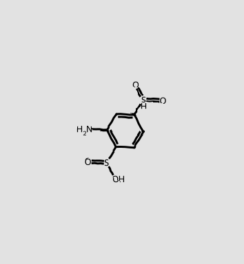 Nc1cc([SH](=O)=O)ccc1S(=O)O